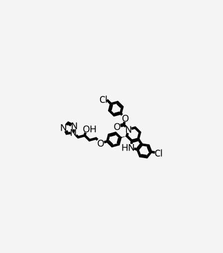 O=C(Oc1ccc(Cl)cc1)N1CCc2c([nH]c3ccc(Cl)cc23)[C@@H]1c1ccc(OCCC(O)Cn2cncn2)cc1